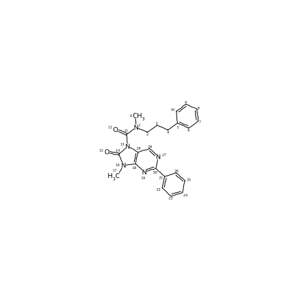 CN(CCCc1ccccc1)C(=O)n1c(=O)n(C)c2nc(-c3ccccc3)ncc21